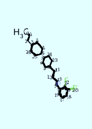 CCC[C@H]1CC[C@H](C2CCC(CC/C=C/c3cccc(F)c3F)CC2)CC1